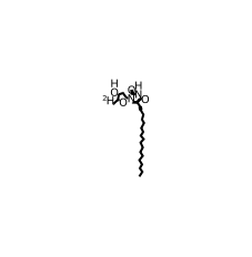 [2H]CC1OC(n2cc(C#CCCCCCCCCCCCCCCCC)c(=O)[nH]c2=O)CC1O